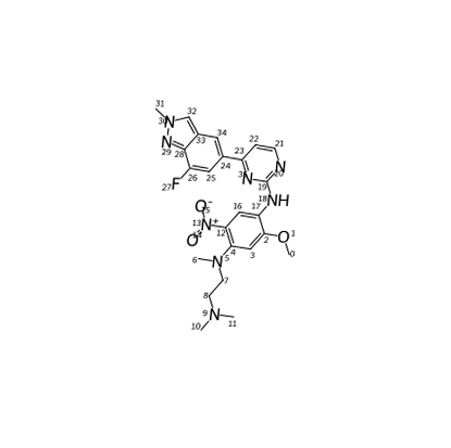 COc1cc(N(C)CCN(C)C)c([N+](=O)[O-])cc1Nc1nccc(-c2cc(F)c3nn(C)cc3c2)n1